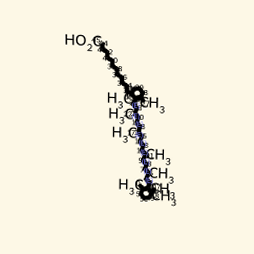 CC1=C(/C=C/C(C)=C/C=C/C(C)=C/C=C/C=C(C)/C=C/C=C(C)/C=C/C2=C(C)CCC[C@]2(C)CCCCCCCCCCCCC(=O)O)C(C)(C)CCC1